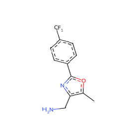 Cc1oc(-c2ccc(C(F)(F)F)cc2)nc1CN